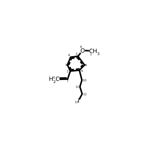 C=Cc1ccc(OC)cc1CCCI